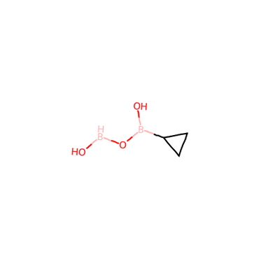 OBOB(O)C1CC1